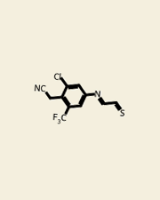 N#CCc1c(Cl)cc(N=CC=S)cc1C(F)(F)F